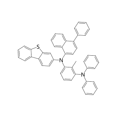 Cc1c(N(c2ccccc2)c2ccccc2)cccc1N(c1ccc2c(c1)sc1ccccc12)c1ccc(-c2ccccc2)c2ccccc12